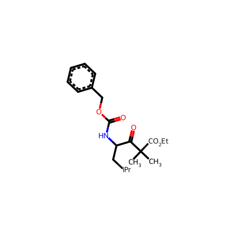 CCOC(=O)C(C)(C)C(=O)C(CC(C)C)NC(=O)OCc1ccccc1